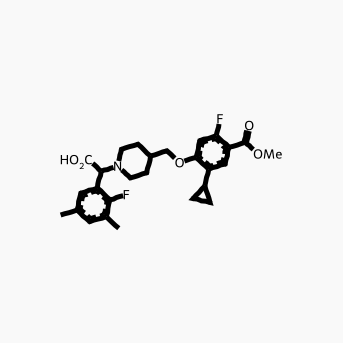 COC(=O)c1cc(C2CC2)c(OCC2CCN(C(C(=O)O)c3cc(C)cc(C)c3F)CC2)cc1F